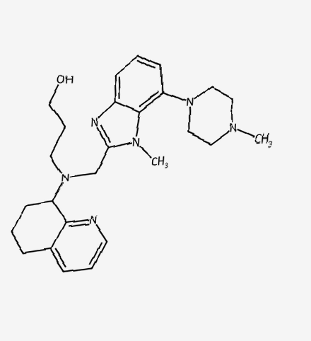 CN1CCN(c2cccc3nc(CN(CCCO)C4CCCc5cccnc54)n(C)c23)CC1